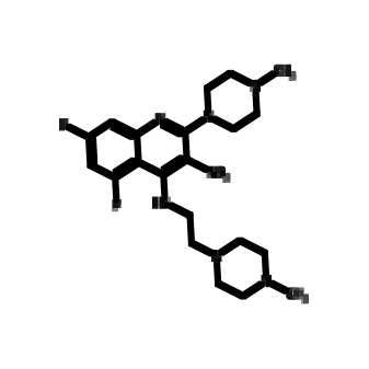 CN1CCN(CCNc2c([N+](=O)[O-])c(N3CCN(C)CC3)nc3cc(F)cc(F)c23)CC1